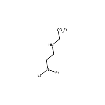 CCOC(=O)CNCCN(CC)CC